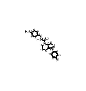 O=C(NCc1ccc(Br)cc1)N1CCCc2c1cnn2-c1ccc(F)cc1